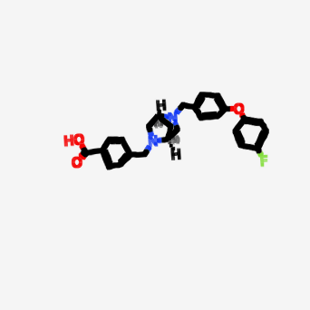 O=C(O)c1ccc(CN2C[C@@H]3C[C@H]2CN3Cc2ccc(Oc3ccc(F)cc3)cc2)cc1